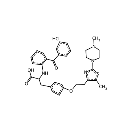 Cc1sc(N2CCN(C)CC2)nc1CCOc1ccc(CC(Nc2ccccc2C(=O)c2ccccc2)C(=O)O)cc1.Cl